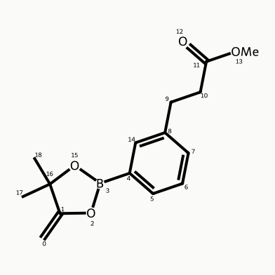 C=C1OB(c2cccc(CCC(=O)OC)c2)OC1(C)C